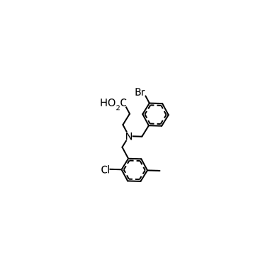 Cc1ccc(Cl)c(CN(CCC(=O)O)Cc2cccc(Br)c2)c1